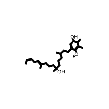 C/C=C\C/C=C(\C)CCCC(C)(O)CCCC(C)CCC1=CC(O)C(C)C(C)=C1OC